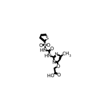 Cc1cc(OCC(=O)O)nc(NC(=O)NS(=O)(=O)c2cccs2)n1